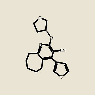 N#Cc1c(O[C@H]2CCOC2)nc2c(c1-c1ccsc1)CCCCC2